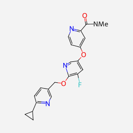 CNC(=O)c1cc(Oc2cnc(OCc3ccc(C4CC4)nc3)c(F)c2)ccn1